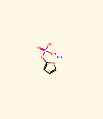 N.O=P(O)(O)Oc1cccs1